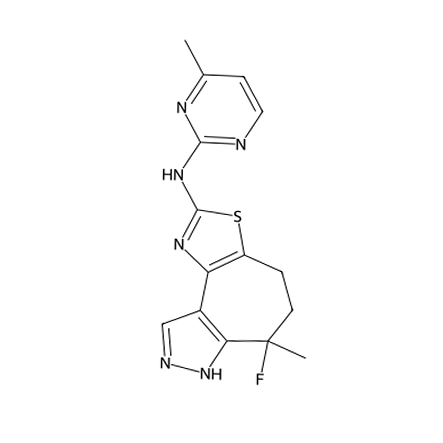 Cc1ccnc(Nc2nc3c(s2)CCC(C)(F)c2[nH]ncc2-3)n1